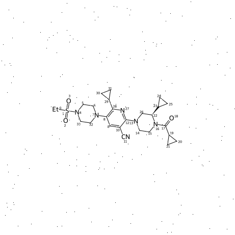 CCS(=O)(=O)N1CCN(c2cc(C#N)c(N3CCN(C(=O)C4CC4)[C@H](C4CC4)C3)nc2C2CC2)CC1